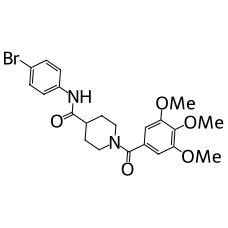 COc1cc(C(=O)N2CCC(C(=O)Nc3ccc(Br)cc3)CC2)cc(OC)c1OC